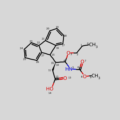 CCCOC(NC(=O)OC)[C@@H](CC(=O)O)C1c2ccccc2-c2ccccc21